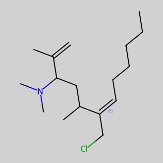 C=C(C)C(CC(C)/C(=C\CCCCC)CCl)N(C)C